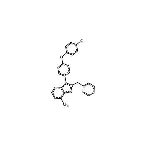 FC(F)(F)c1cccc2c(-c3ccc(Oc4ccc(Cl)cc4)cc3)n(Cc3ccccc3)nc12